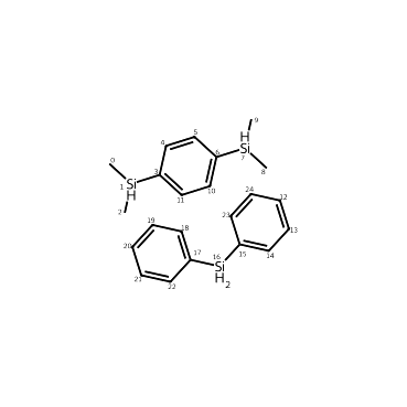 C[SiH](C)c1ccc([SiH](C)C)cc1.c1ccc([SiH2]c2ccccc2)cc1